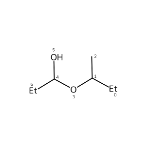 CCC(C)OC(O)CC